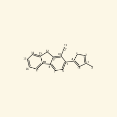 CC1=CCC(c2ccc3c([c]2[Zr])Cc2ccccc2-3)=C1